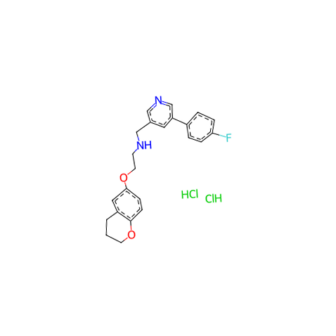 Cl.Cl.Fc1ccc(-c2cncc(CNCCOc3ccc4c(c3)CCCO4)c2)cc1